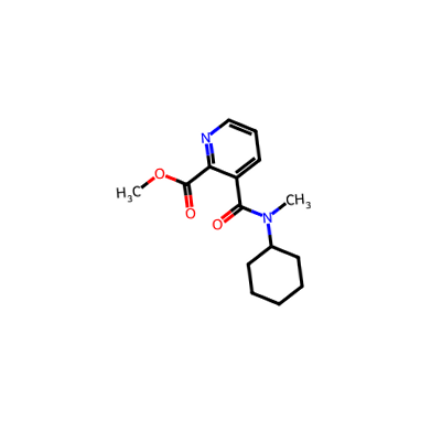 COC(=O)c1ncccc1C(=O)N(C)C1CCCCC1